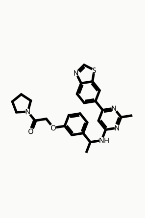 Cc1nc(NC(C)c2cccc(OCC(=O)N3CCCC3)c2)cc(-c2ccc3ncsc3c2)n1